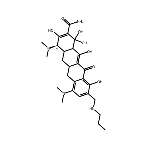 CCCNCc1cc(N(C)C)c2c(c1O)C(=O)C1=C(O)C3C(CC1C2)[C@@H](N(C)C)C(O)=C(C(N)=O)C3(O)O